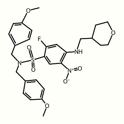 COc1ccc(CN(Cc2ccc(OC)cc2)S(=O)(=O)c2cc([N+](=O)[O-])c(NCC3CCOCC3)cc2F)cc1